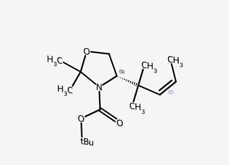 C/C=C\C(C)(C)[C@H]1COC(C)(C)N1C(=O)OC(C)(C)C